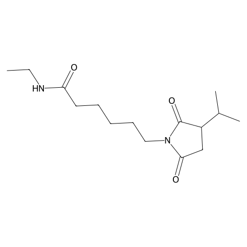 CCNC(=O)CCCCCN1C(=O)CC(C(C)C)C1=O